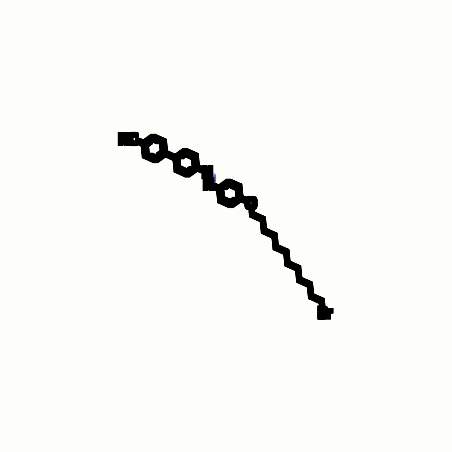 N#Cc1ccc(-c2ccc(/N=N/c3ccc(OCCCCCCCCCCCCBr)cc3)cc2)cc1